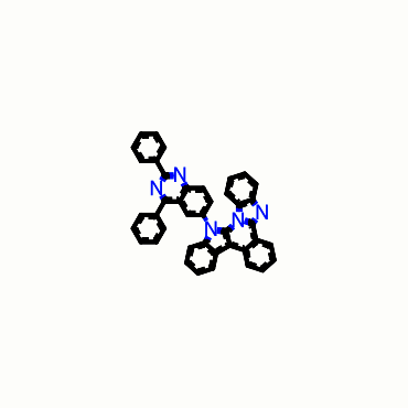 c1ccc(-c2nc(-c3ccccc3)c3cc(-n4c5ccccc5c5c6ccccc6c6nc7ccccc7n6c54)ccc3n2)cc1